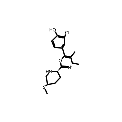 CC/C(C)=C(\O/C(=N\C)[C@H]1CCC(SC)CN1)c1ccc(O)c(Cl)c1